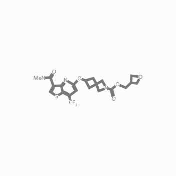 CNC(=O)c1csc2c(C(F)(F)F)cc(OC3CC4(C3)CN(C(=O)OCC3COC3)C4)nc12